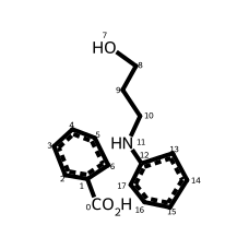 O=C(O)c1ccccc1.OCCCNc1ccccc1